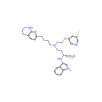 Cn1cc(N[C@@H](CCN(CCCCc2ccc3c(n2)NCCC3)CCOc2cncc(F)c2)C(=O)O)c2ccccc21